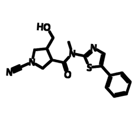 CN(C(=O)C1CN(C#N)CC1CO)c1ncc(-c2ccccc2)s1